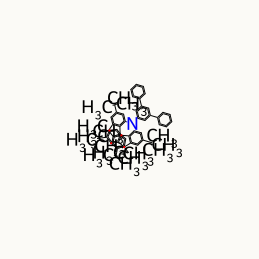 CC(C)(C)c1ccc2c(c1)C(C)(C)c1cc(C(C)(C)C)cc(N(c3cc(-c4ccccc4)cc(-c4ccccc4)c3)c3cc(C(C)(C)C)cc4c3-c3ccc(C(C)(C)C)cc3C4(C)C)c1-2